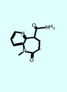 CN1C(=O)[C]CC(C(N)=O)c2ncccc21